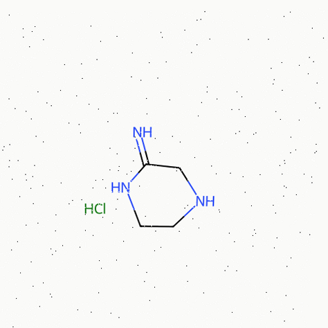 Cl.N=C1CNCCN1